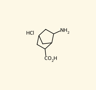 Cl.NC1CC2CC(C(=O)O)C1C2